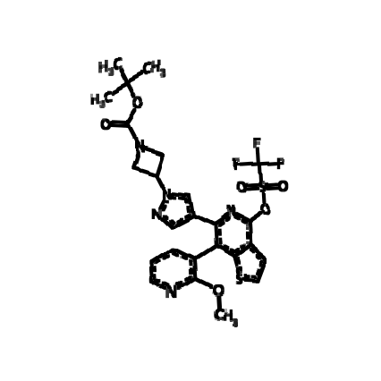 COc1ncccc1-c1c(-c2cnn(C3CN(C(=O)OC(C)(C)C)C3)c2)nc(OS(=O)(=O)C(F)(F)F)c2ccsc12